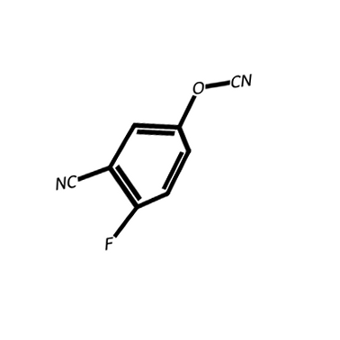 N#COc1ccc(F)c(C#N)c1